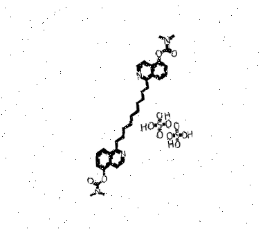 CN(C)C(=O)Oc1cccc2c(CCCCCCCCCCc3nccc4c(OC(=O)N(C)C)cccc34)nccc12.O=S(=O)(O)O.O=S(=O)(O)O